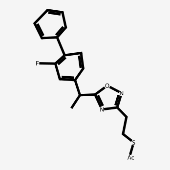 CC(=O)SCCc1noc(C(C)c2ccc(-c3ccccc3)c(F)c2)n1